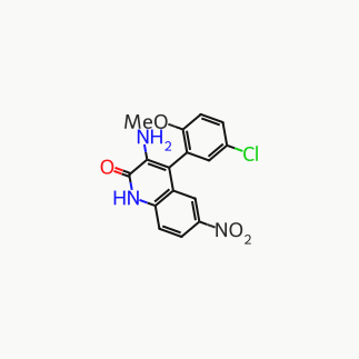 COc1ccc(Cl)cc1-c1c(N)c(=O)[nH]c2ccc([N+](=O)[O-])cc12